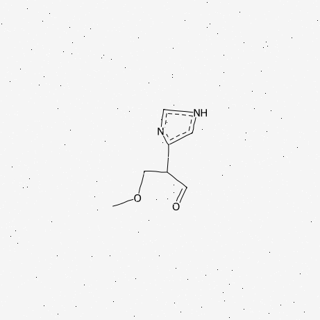 COCC(C=O)c1c[nH]cn1